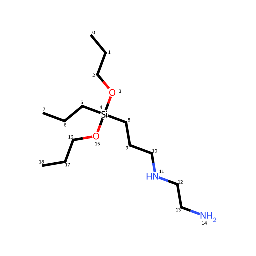 CCCO[Si](CCC)(CCCNCCN)OCCC